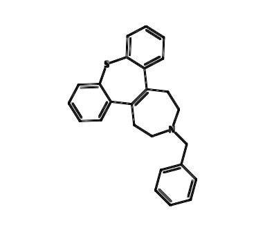 c1ccc(CN2CCC3=C(CC2)c2ccccc2Sc2ccccc23)cc1